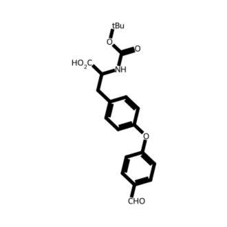 CC(C)(C)OC(=O)NC(Cc1ccc(Oc2ccc(C=O)cc2)cc1)C(=O)O